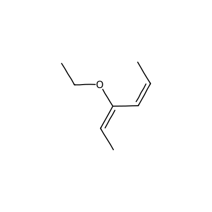 C/C=C\C(=C/C)OCC